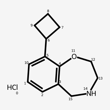 Cl.c1cc2c(c(C3CCC3)c1)OCCNC2